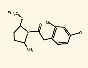 CCOC(=O)OC1CCC(C)N1C(=O)Cc1ccc(Cl)cc1Cl